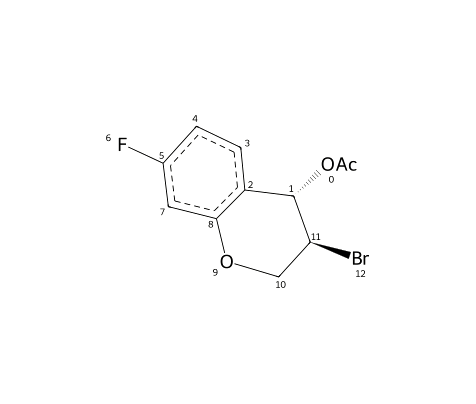 CC(=O)O[C@H]1c2ccc(F)cc2OC[C@@H]1Br